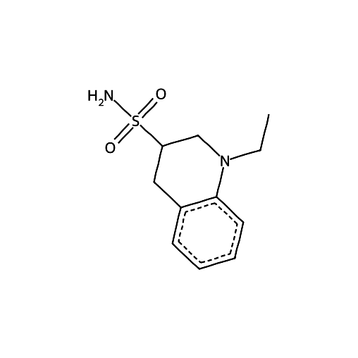 CCN1CC(S(N)(=O)=O)Cc2ccccc21